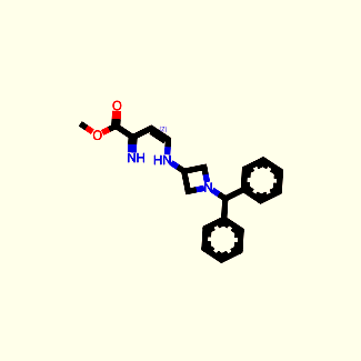 COC(=O)C(=N)/C=C\NC1CN(C(c2ccccc2)c2ccccc2)C1